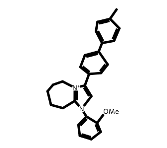 COc1ccccc1-n1cc(-c2ccc(-c3ccc(C)cc3)cc2)[n+]2c1CCCCC2